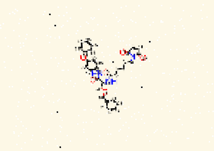 O=C(CCCCCN1C(=O)C=CC1=O)NC(COCc1ccccc1)C(=O)Nc1ccc(Oc2ccccc2)cc1